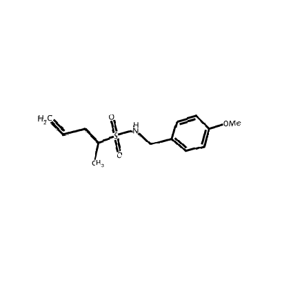 C=CCC(C)S(=O)(=O)NCc1ccc(OC)cc1